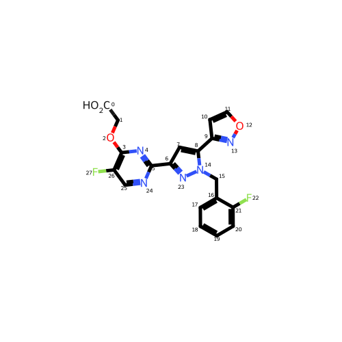 O=C(O)COc1nc(-c2cc(-c3ccon3)n(Cc3ccccc3F)n2)ncc1F